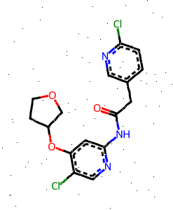 O=C(Cc1ccc(Cl)nc1)Nc1cc(OC2CCOC2)c(Cl)cn1